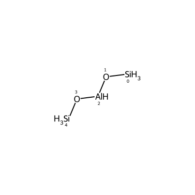 [SiH3][O][AlH][O][SiH3]